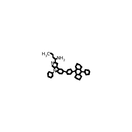 C/C=C\C=C(/N)c1cc2c3cc(-c4ccc(-c5c6ccccc6c(-c6ccccc6)c6ccccc56)cc4)ccc3n(-c3ccccc3)c2cn1